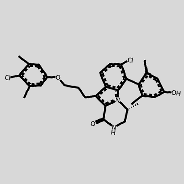 Cc1cc(OCCCc2c3n(c4c(-c5c(C)cc(O)cc5C)c(Cl)ccc24)[C@H](C)CNC3=O)cc(C)c1Cl